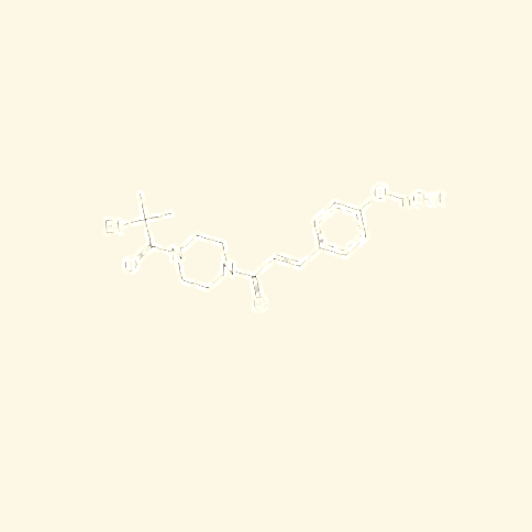 CCCCCCCCOc1ccc(/C=C/C(=O)N2CCN(C(=O)C(C)(C)CC)CC2)cc1